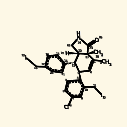 CC1=C[C@@H](c2ccc(Cl)cc2CI)[C@H](c2ccc(CI)cc2)[C@@H]2CNC(=O)[C@]12C